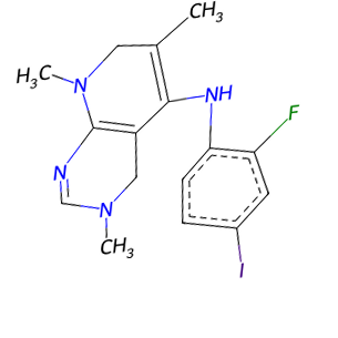 CC1=C(Nc2ccc(I)cc2F)C2=C(N=CN(C)C2)N(C)C1